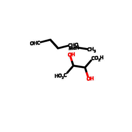 CNC.O=C(O)C(O)C(O)C(=O)O.O=CCCC=O